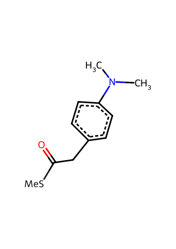 CSC(=O)Cc1ccc(N(C)C)cc1